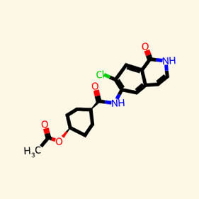 CC(=O)O[C@H]1CC[C@@H](C(=O)Nc2cc3cc[nH]c(=O)c3cc2Cl)CC1